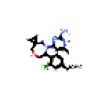 CSCc1ccc(C2COCC3(CC3)CN2c2cc(C)nc(N)n2)c(Cl)c1